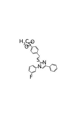 CS(=O)(=O)c1ccc(CSc2nc(-c3ccccc3)cn2-c2cccc(F)c2)cc1